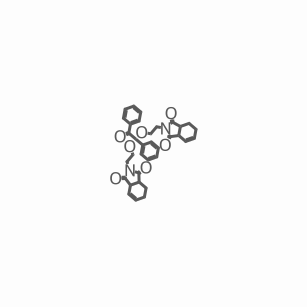 O=C1C2C=CCCC2C(=O)N1CCOC(OCCN1C(=O)C2C=CCCC2C1=O)(C(=O)c1ccccc1)c1ccccc1